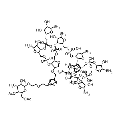 BC1O[C@H](COP(=O)(O)O[C@@H]2[C@H](O)C(B)O[C@@H]2COP(=O)(O)O[C@@H]2[C@H](OCc3cn(CCOCCOC4OC(COC(C)=O)C(OC(C)=O)C(C)C4C)nn3)CO[C@@H]2COP(=O)(O)O[C@@H]2[C@H](O)C(B)O[C@@H]2COP(=O)(O)O[C@@H]2[C@H](O)C(B)O[C@@H]2COP(=O)(O)O[C@@H]2[C@H](O)C(B)O[C@@H]2COP(=O)(O)O[C@@H]2[C@H](O)C(B)O[C@@H]2COP(=O)(O)O[C@@H]2[C@H](O)C(B)O[C@@H]2COP(=O)(O)O[C@@H]2[C@H](O)C(B)O[C@@H]2C)[C@H](O)[C@@H]1O